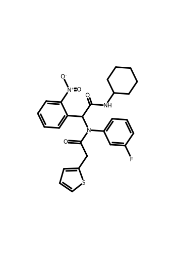 O=C(NC1CCCCC1)C(c1ccccc1[N+](=O)[O-])N(C(=O)Cc1cccs1)c1cccc(F)c1